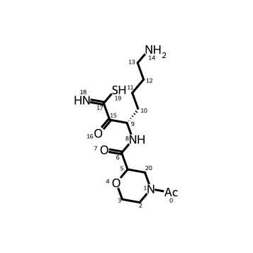 CC(=O)N1CCOC(C(=O)N[C@@H](CCCCN)C(=O)C(=N)S)C1